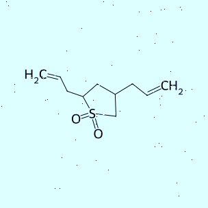 C=CCC1CC(CC=C)S(=O)(=O)C1